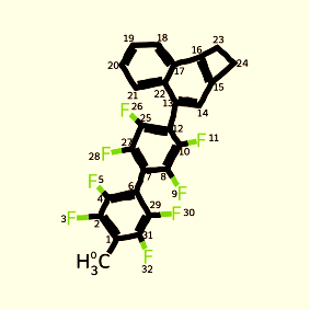 Cc1c(F)c(F)c(-c2c(F)c(F)c(-c3cc4c(c5ccccc35)CC4)c(F)c2F)c(F)c1F